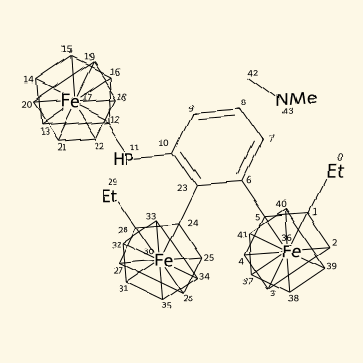 CC[C]12[CH]3[CH]4[CH]5[C]1(c1cccc(P[C]67[CH]8[CH]9[CH]%10[CH]6[Fe]9%10876%11%12%13[CH]7[CH]6[CH]%11[CH]%12[CH]7%13)c1[C]16[CH]7[CH]8[CH]9[C]1(CC)[Fe]89761%10%11%12[CH]6[CH]1[CH]%10[CH]%11[CH]6%12)[Fe]43521678[CH]2[CH]1[CH]6[CH]7[CH]28.CNC